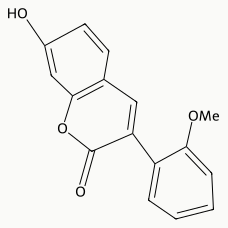 COc1ccccc1-c1cc2ccc(O)cc2oc1=O